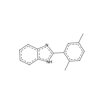 Cc1ccc(C)c(-c2nc3ccccc3[nH]2)c1